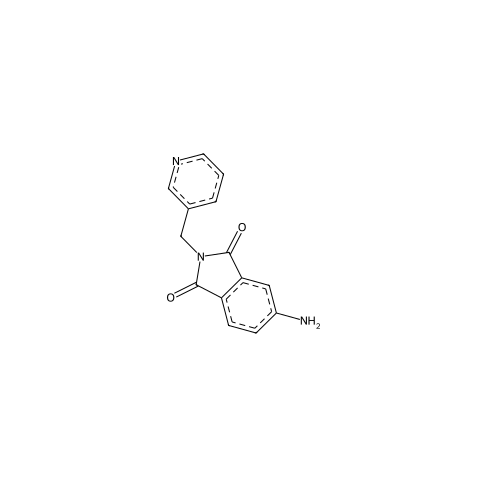 Nc1ccc2c(c1)C(=O)N(Cc1cccnc1)C2=O